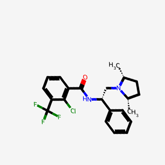 C[C@@H]1CC[C@H](C)N1C[C@@H](NC(=O)c1cccc(C(F)(F)F)c1Cl)c1ccccc1